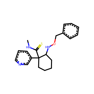 CNC(=S)C1(c2cccnc2)CCCCC1NOCc1ccccc1